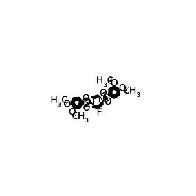 COc1ccc(S(=O)(=O)N2CCN(S(=O)(=O)c3ccc(OC)c(OC)c3)CC(F)C2)cc1OC